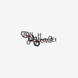 CCOCCCNC(=O)c1ccc(N2C3CCC2CC(NC(=O)c2cccc(OC)c2C)C3)nc1